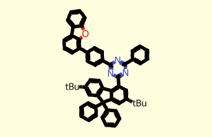 CC(C)(C)c1ccc2c(c1)C(c1ccccc1)(c1ccccc1)c1cc(C(C)(C)C)cc(-c3nc(-c4ccccc4)nc(-c4ccc(-c5cccc6c5oc5ccccc56)cc4)n3)c1-2